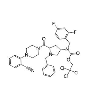 N#Cc1ccccc1N1CCN(C(=O)C2CC(N(Cc3ccc(F)cc3F)C(=O)OCC(Cl)(Cl)Cl)CN2Cc2ccccc2)CC1